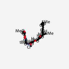 CNCCC[C@H](NC(=O)CNC(=O)CCCCCN1C(=O)CC(SC)C1=O)C(=O)Nc1ccc(COC(=O)NCCCNC(=O)O[C@H](C/C=C\NC(=O)[C@@H](NC(=O)\C=C/C=C\C(C)=C\C[C@@H]2CC=C(OC)C(=O)O2)C(C)(C)C)C/C=C(\C)Cl)cc1